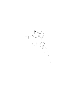 C[Si](C)(C)CCOCn1cc(-c2c[nH]c3cnc(Br)cc23)c(Cl)n1